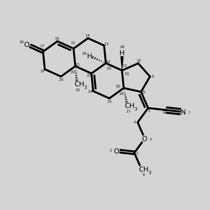 CC(=O)OCC(C#N)=C1CC[C@H]2[C@@H]3CCC4=CC(=O)CC[C@]4(C)C3=CC[C@]12C